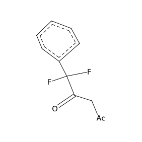 CC(=O)CC(=O)C(F)(F)c1ccccc1